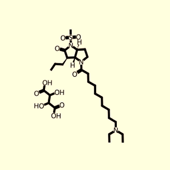 CCC[C@H]1C(=O)N(S(C)(=O)=O)[C@H]2CCN(C(=O)CCCCCCCCCN(CC)CC)[C@H]12.O=C(O)C(O)C(O)C(=O)O